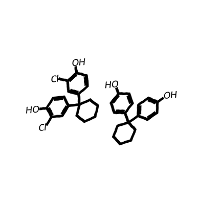 Oc1ccc(C2(c3ccc(O)c(Cl)c3)CCCCC2)cc1Cl.Oc1ccc(C2(c3ccc(O)cc3)CCCCC2)cc1